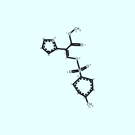 COC(=O)/C(=C\OS(=O)(=O)c1ccc(C)cc1)c1cccs1